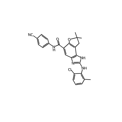 Cc1cccc(Cl)c1Nc1nc2cc(C(=O)Nc3ccc(C#N)cc3)c3c(c2[nH]1)CC(C)(C)O3